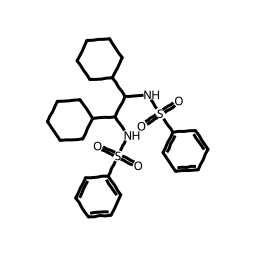 O=S(=O)(NC(C1CCCCC1)C(NS(=O)(=O)c1ccccc1)C1CCCCC1)c1ccccc1